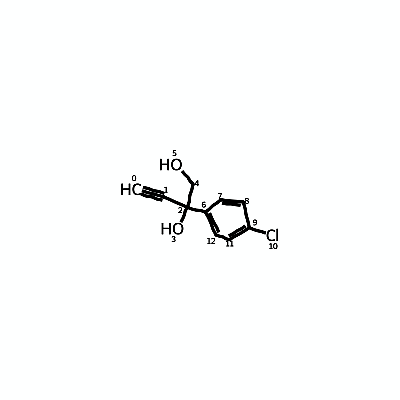 C#CC(O)(CO)c1ccc(Cl)cc1